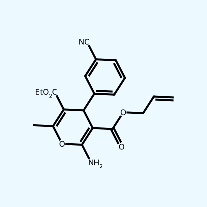 C=CCOC(=O)C1=C(N)OC(C)=C(C(=O)OCC)C1c1cccc(C#N)c1